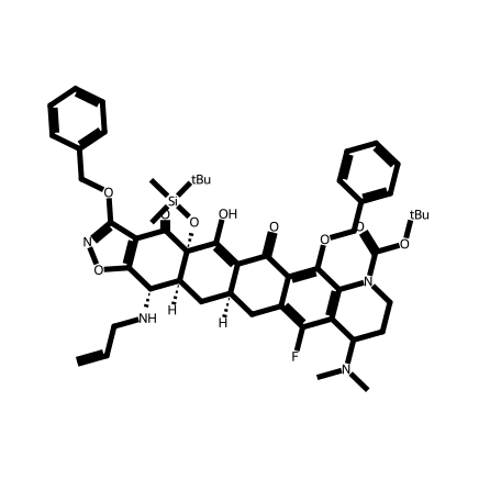 C=CCN[C@@H]1c2onc(OCc3ccccc3)c2C(=O)[C@@]2(O[Si](C)(C)C(C)(C)C)C(O)=C3C(=O)c4c(c(F)c5c(c4OCc4ccccc4)N(C(=O)OC(C)(C)C)CCC5N(C)C)C[C@H]3C[C@@H]12